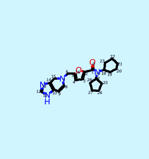 O=C(c1ccc(CN2C=Cc3[nH]cnc3C2)o1)N(C1CCCCC1)C1CCCC1